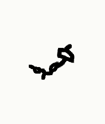 COCC(C)COCC1CC=C(C)CC1